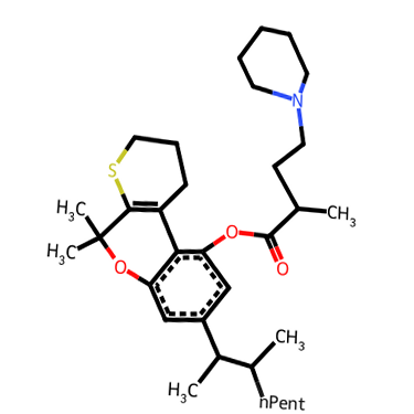 CCCCCC(C)C(C)c1cc(OC(=O)C(C)CCN2CCCCC2)c2c(c1)OC(C)(C)C1=C2CCCS1